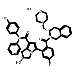 Cl.O=C(c1cc(-c2cc(F)ccc2C(=O)N2Cc3ccccc3C[C@H]2CN2CCOCC2)n2c1C[C@H](O)C2)N(c1ccccc1)c1ccc(O)cc1